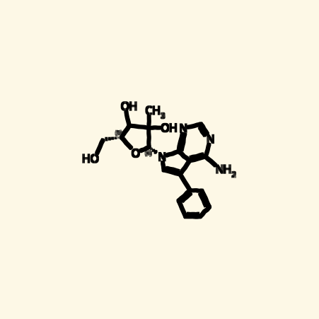 CC1(O)C(O)[C@@H](CO)O[C@H]1n1cc(-c2ccccc2)c2c(N)ncnc21